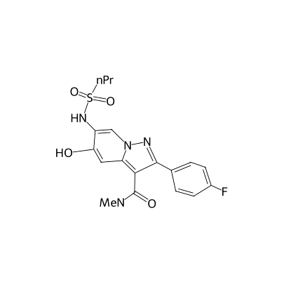 CCCS(=O)(=O)Nc1cn2nc(-c3ccc(F)cc3)c(C(=O)NC)c2cc1O